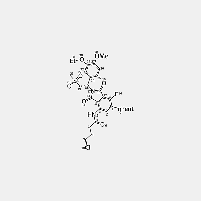 CCCCCc1cc(NC(=O)CCCCl)c2c(c1F)C(=O)N([C@H](CS(C)(=O)=O)c1ccc(OC)c(OCC)c1)C2=O